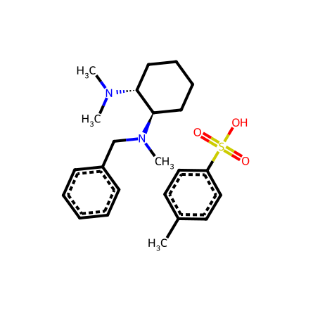 CN(C)[C@@H]1CCCC[C@H]1N(C)Cc1ccccc1.Cc1ccc(S(=O)(=O)O)cc1